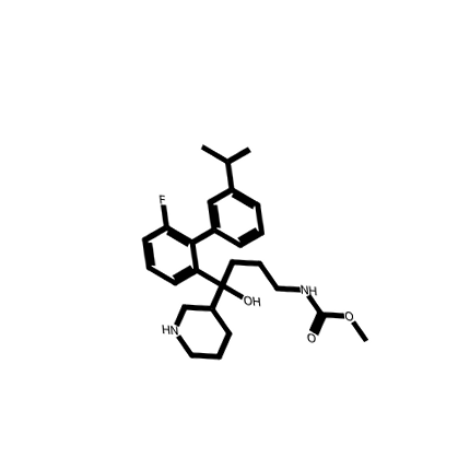 COC(=O)NCCCC(O)(c1cccc(F)c1-c1cccc(C(C)C)c1)C1CCCNC1